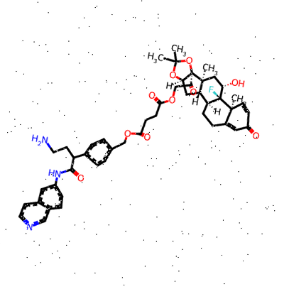 CC1(C)O[C@@H]2C[C@H]3[C@@H]4CCC5=CC(=O)C=C[C@]5(C)[C@@]4(F)[C@@H](O)C[C@]3(C)[C@]2(C(=O)COC(=O)CCC(=O)OCc2ccc(C(CCN)C(=O)Nc3ccc4cnccc4c3)cc2)O1